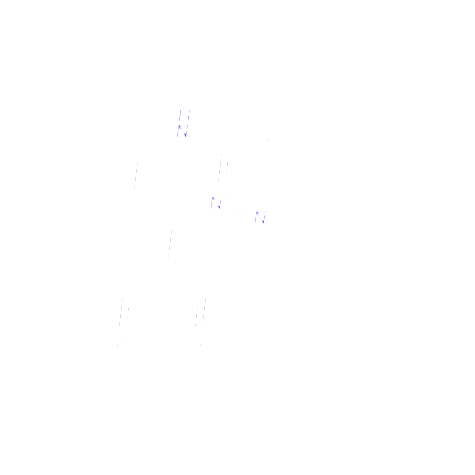 c1ccc(C2CCNc3ccnn32)cc1